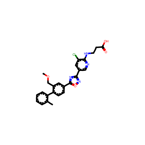 COCc1cc(-c2nc(-c3cnc(NCCC(=O)O)c(Cl)c3)no2)ccc1-c1ccccc1C